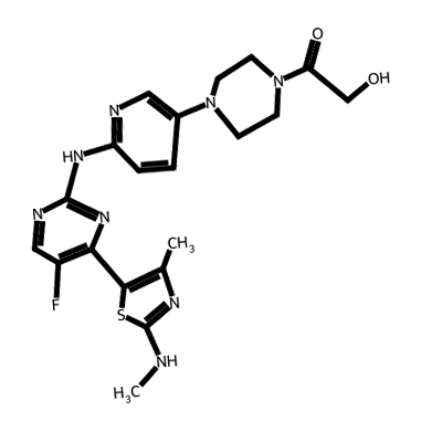 CNc1nc(C)c(-c2nc(Nc3ccc(N4CCN(C(=O)CO)CC4)cn3)ncc2F)s1